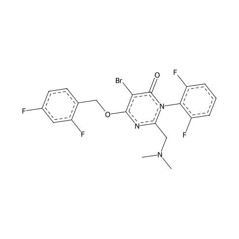 CN(C)Cc1nc(OCc2ccc(F)cc2F)c(Br)c(=O)n1-c1c(F)cccc1F